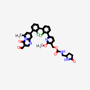 COc1nc(-c2cccc(-c3cccc(-c4cc(C)n5c(=O)c(C=O)cnc5c4)c3Cl)c2Cl)ccc1COC(=O)NCC1CCC(=O)N1